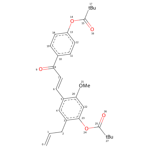 C=CCc1cc(C=CC(=O)c2ccc(OC(=O)C(C)(C)C)cc2)c(OC)cc1OC(=O)C(C)(C)C